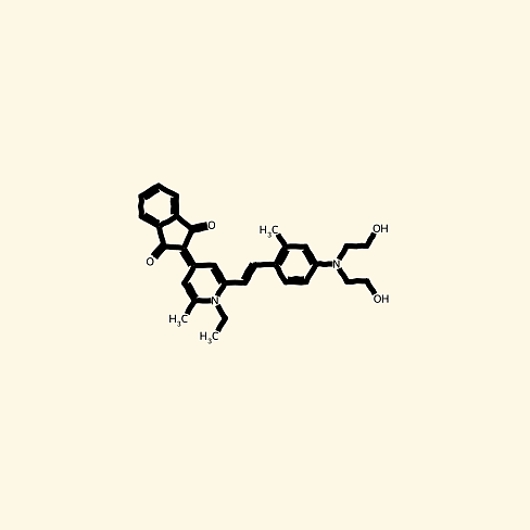 CCN1C(C)=CC(=C2C(=O)c3ccccc3C2=O)C=C1C=Cc1ccc(N(CCO)CCO)cc1C